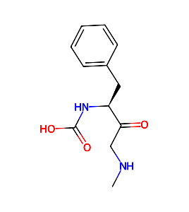 CNCC(=O)[C@H](Cc1ccccc1)NC(=O)O